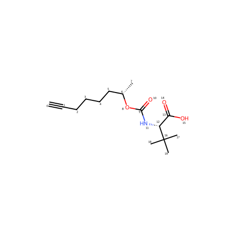 C#CCCCC[C@H](C)OC(=O)N[C@H](C(=O)O)C(C)(C)C